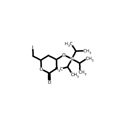 CC(C)[Si](OC1CC(=O)OC(CI)C1)(C(C)C)C(C)C